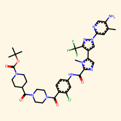 Cc1cc(-n2cc(-c3cnc(C(=O)Nc4ccc(C(=O)N5CCN(C(=O)C6CCN(C(=O)OC(C)(C)C)CC6)CC5)c(Cl)c4)n3C)c(C(F)(F)F)n2)ncc1N